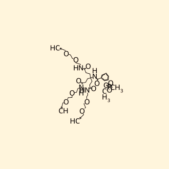 C#CCOCCOCCNC(=O)CCC(CCC(=O)NCCOCCOCC#C)(CCC(=O)NCCOCCOCC#C)NC(=O)c1cccc(OP(C)(=O)OC)c1